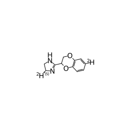 [2H]c1ccc2c(c1)OCC(C1=N[C@@H]([2H])CN1)O2